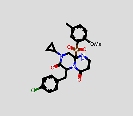 COc1ccc(C)cc1S(=O)(=O)C12CN(C3CC3)C(=O)C(Cc3ccc(Cl)cc3)N1C(=O)CCN2